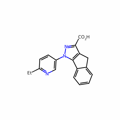 CCc1ccc(-n2nc(C(=O)O)c3c2-c2ccccc2C3)cn1